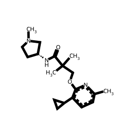 Cc1ccc(C2CC2)c(OCC(C)(C)C(=O)N[C@@H]2CCN(C)C2)n1